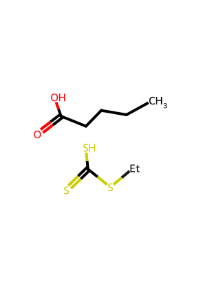 CCCCC(=O)O.CCSC(=S)S